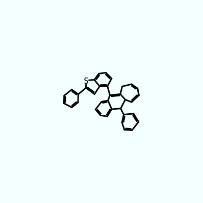 C1=CCC2=C(c3cccc4sc(-c5ccccc5)cc34)c3ccccc3C(c3ccccc3)C2C=C1